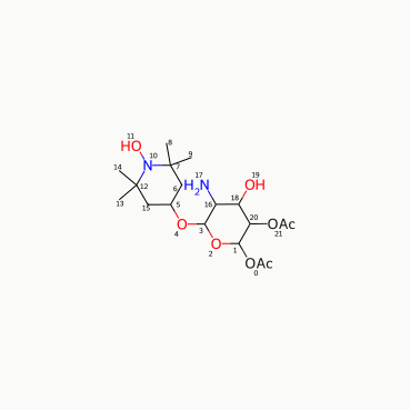 CC(=O)OC1OC(OC2CC(C)(C)N(O)C(C)(C)C2)C(N)C(O)C1OC(C)=O